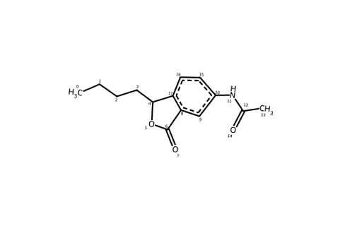 CCCCC1OC(=O)c2cc(NC(C)=O)ccc21